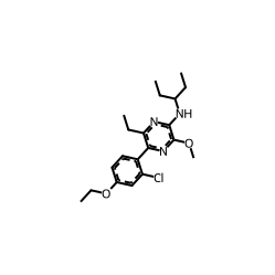 CCOc1ccc(-c2nc(OC)c(NC(CC)CC)nc2CC)c(Cl)c1